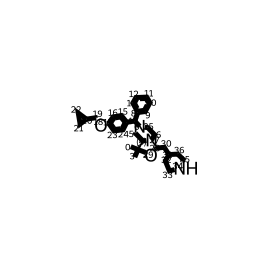 CC(C)(C)[C@H]1CN(C(c2ccccc2)c2ccc(OCC3CC3)cc2)CCN1C(=O)CC1CCNCC1